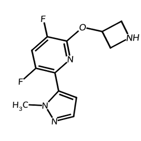 Cn1nccc1-c1nc(OC2CNC2)c(F)cc1F